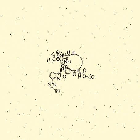 CC(C)c1csc(-c2cccc3c2nc(O[C@@H]2C[C@H]4C(=O)N[C@]5(C(=O)NS(=O)(=O)C6(C)CC6)C[C@H]5/C=C\CCCCC[C@H](NC(=O)OC5COC5)C(=O)N4C2)n3C(C)C)n1